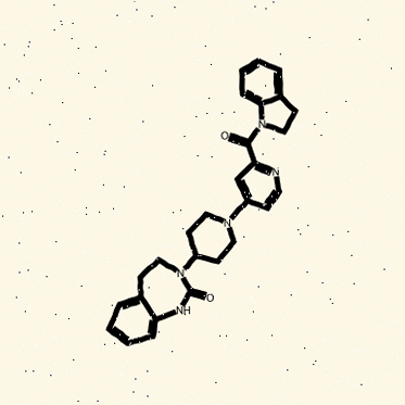 O=C(c1cc(N2CCC(N3CCc4ccccc4NC3=O)CC2)ccn1)N1CCc2ccccc21